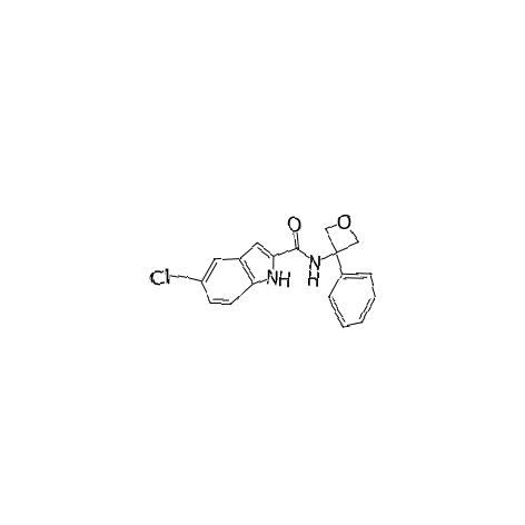 O=C(NC1(c2ccccc2)COC1)c1cc2cc(Cl)ccc2[nH]1